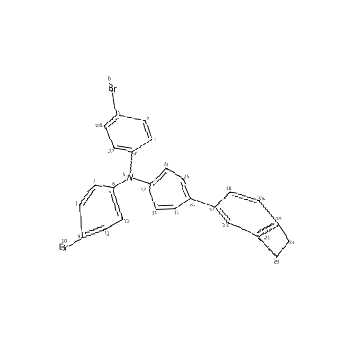 Brc1ccc(N(c2ccc(Br)cc2)c2ccc(-c3ccc4c(c3)CC4)cc2)cc1